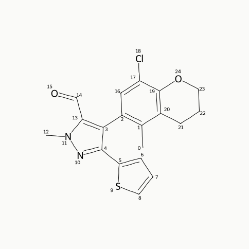 Cc1c(-c2c(-c3cccs3)nn(C)c2C=O)cc(Cl)c2c1CCCO2